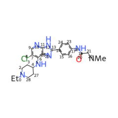 CCN1CCC(Nc2c(Cl)cnc3[nH]c(-c4ccc(NC(=O)CNC)cc4)nc23)CC1